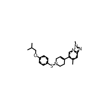 Cc1cc2nn(C)n2cc1C1=CCN(Sc2ccc(OCC(C)C)cc2)CC1